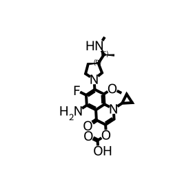 CN[C@@H](C)[C@@H]1CCN(c2c(F)c(N)c3c(=O)c(OC(=O)O)cn(C4CC4)c3c2OC)C1